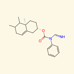 CC1CC=C2C[C@@H](OC(=O)N(C=N)c3ccccc3)CC[C@]2(C)C1C